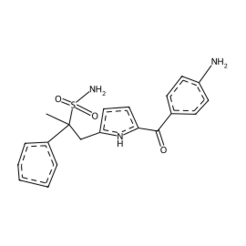 CC(Cc1ccc(C(=O)c2ccc(N)cc2)[nH]1)(c1ccccc1)S(N)(=O)=O